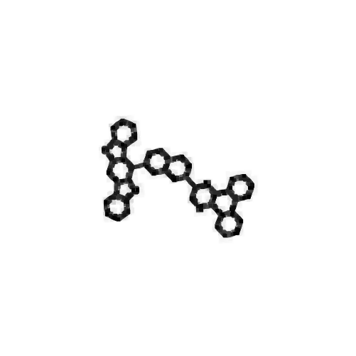 c1ccc2c(c1)oc1c(-c3ccc4ccc(-c5cnc6c7ccccc7c7ccccc7c6n5)cc4c3)c3c(cc12)oc1ccccc13